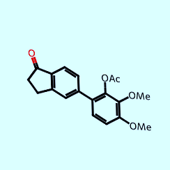 COc1ccc(-c2ccc3c(c2)CCC3=O)c(OC(C)=O)c1OC